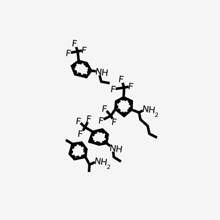 CCCCC(N)c1cc(C(F)(F)F)cc(C(F)(F)F)c1.CCNc1ccc(C(F)(F)F)cc1.CCNc1cccc(C(F)(F)F)c1.Cc1ccc(C(C)N)cc1